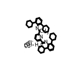 CC(=Nc1c(C2CCCCC2)cccc1C1CCCCC1)c1cccc(C(C)=Nc2c(C3CCCCC3)cccc2C2CCCCC2)n1.[Cl-].[Cl-].[Cl-].[Co+3]